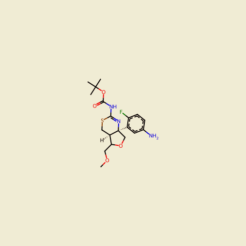 COCC1OC[C@]2(c3cc(N)ccc3F)N=C(NC(=O)OC(C)(C)C)SC[C@H]12